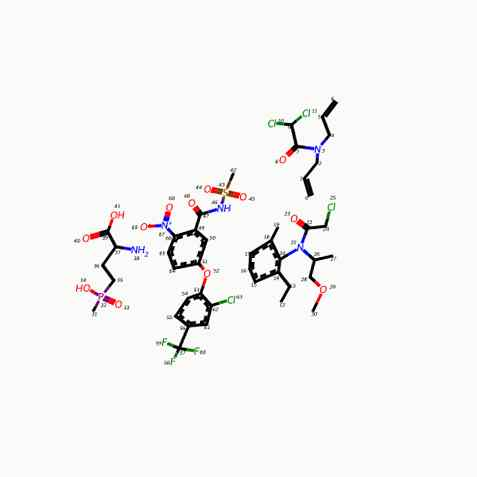 C=CCN(CC=C)C(=O)C(Cl)Cl.CCc1cccc(C)c1N(C(=O)CCl)C(C)COC.CP(=O)(O)CCC(N)C(=O)O.CS(=O)(=O)NC(=O)c1cc(Oc2ccc(C(F)(F)F)cc2Cl)ccc1[N+](=O)[O-]